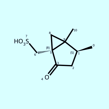 C[C@H]1CC(=O)[C@@]2(CS(=O)(=O)O)CC12C